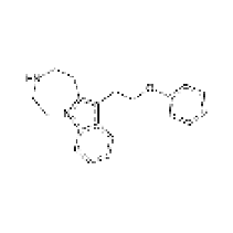 c1ccc(OCCc2c3n(c4ccccc24)CCNCC3)cc1